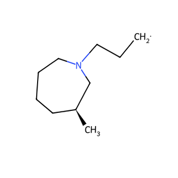 [CH2]CCN1CCCC[C@H](C)C1